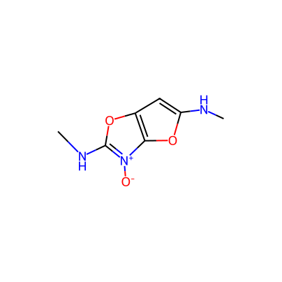 CNc1cc2oc(NC)[n+]([O-])c2o1